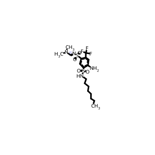 CCCCCCCCNS(=O)(=O)c1cc(S(=O)(=O)/N=C/N(C)C)c(C(F)(F)F)cc1N